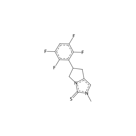 Cn1cc2n(c1=S)CC(c1c(F)c(F)cc(F)c1F)C2